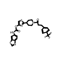 O=C(Nc1ccc2ncsc2c1)Oc1csc(C2CCN(C(=O)CCc3ccc(C(F)(F)F)cc3)CC2)n1